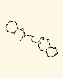 O=C(NC[C@@H](O)Cc1ccccc1Cl)OC1CCCCC1